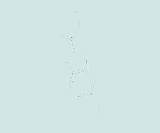 COC(=O)c1cc2ccc(OC)cc2o1